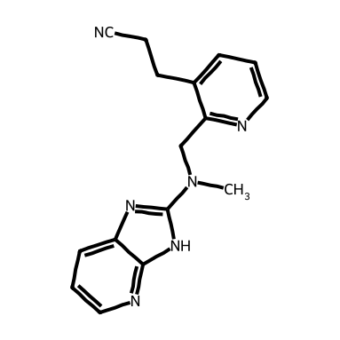 CN(Cc1ncccc1CCC#N)c1nc2cccnc2[nH]1